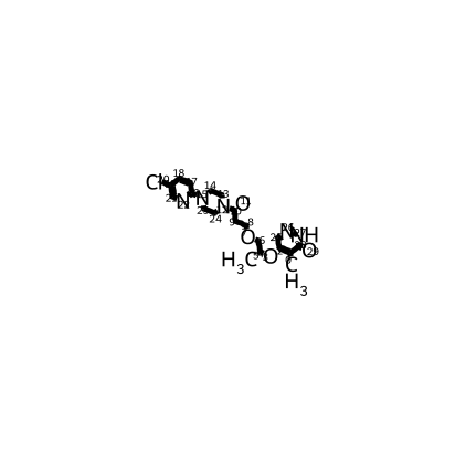 Cc1c(O[C@@H](C)COCCC(=O)N2CCN(c3ccc(Cl)cn3)CC2)cn[nH]c1=O